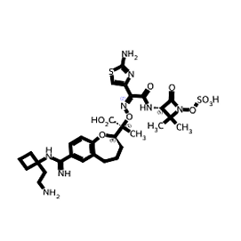 CC1(C)[C@H](NC(=O)/C(=N\O[C@](C)(C(=O)O)[C@H]2CCCc3cc(C(=N)NC4(CCN)CCC4)ccc3O2)c2csc(N)n2)C(=O)N1OS(=O)(=O)O